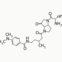 CCCC(N)C(=O)N1CC(=O)C2C1CCN2C(=O)CC(C)CCNC(=O)c1ccc(N(C)C)cc1